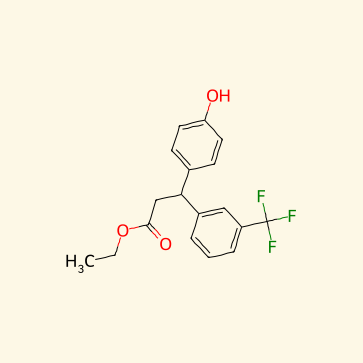 CCOC(=O)CC(c1ccc(O)cc1)c1cccc(C(F)(F)F)c1